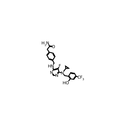 NC(=O)Cc1ccc(CNc2ncnc(N(Cc3ccc(C(F)(F)F)cc3O)C3CC3)c2F)cc1